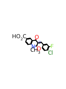 CN1C(=O)/C(=C\c2ccc(Cl)c(F)c2)C(=O)c2cc(C(=O)O)ccc21